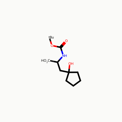 CC(C)(C)OC(=O)NC(CC1(O)CCCC1)C(=O)O